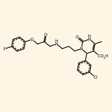 CC1=C(C(=O)O)C(c2cccc(Cl)c2)N(CCCNCC(=O)COc2ccc(F)cc2)C(=O)N1